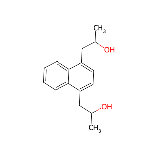 CC(O)Cc1ccc(CC(C)O)c2ccccc12